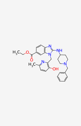 CCOC(=O)c1ccc2nc(NC3CCN(Cc4ccccc4)CC3)n(Cc3nc(C)ccc3O)c2c1